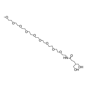 COCCOCCOCCOCCOCCOCCOCCOCCOCCNC(=O)CCC(CO)CO